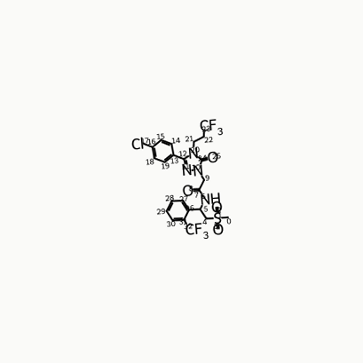 CS(=O)(=O)CC(NC(=O)Cn1nc(-c2ccc(Cl)cc2)n(CCC(F)(F)F)c1=O)c1ccccc1C(F)(F)F